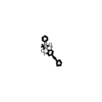 CC1(C)C(=O)N(C2C(F)=CC(C#Cc3ccccc3)=CC2F)C(=O)N1c1ccccc1